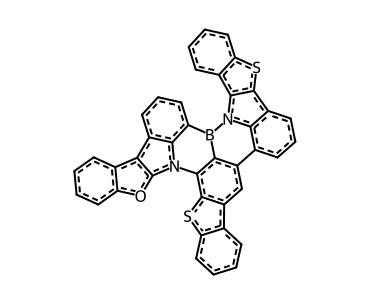 c1ccc2c(c1)oc1c2c2cccc3c2n1-c1c2c(cc4c1sc1ccccc14)-c1cccc4c5sc6ccccc6c5n(c14)B23